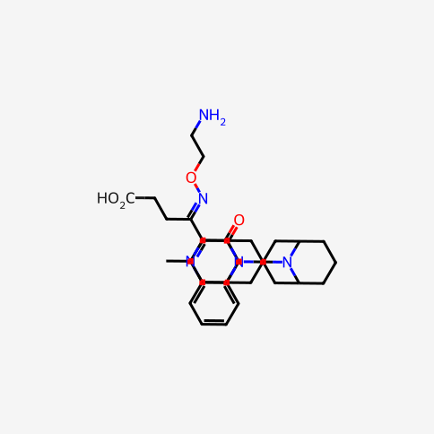 CC1CC2CC(C1)CC(N1C3CCCC1CC(n1c(=O)c(/C(CCC(=O)O)=N/OCCN)nc4ccccc41)C3)C2